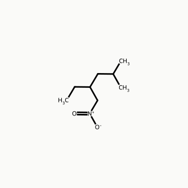 CCC(CC(C)C)C[N+](=O)[O-]